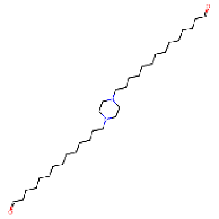 O=CCCCCCCCCCCCCCN1CCN(CCCCCCCCCCCCCC=O)CC1